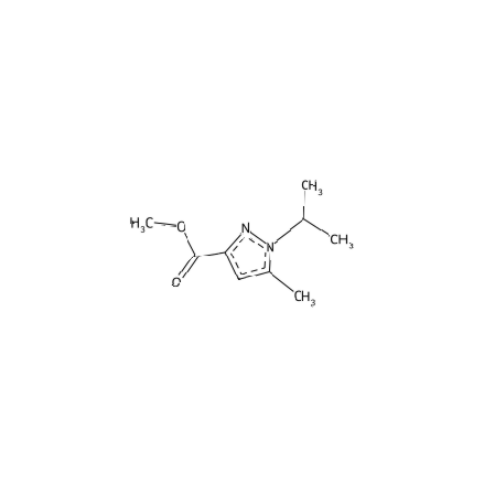 COC(=O)c1cc(C)n(C(C)C)n1